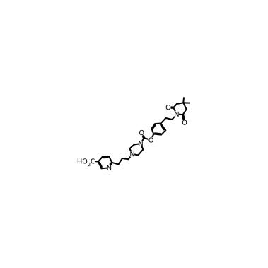 CC1(C)CC(=O)N(CCc2ccc(OC(=O)N3CCN(CCCc4ccc(C(=O)O)cn4)CC3)cc2)C(=O)C1